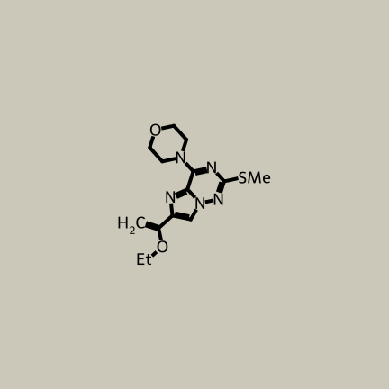 C=C(OCC)c1cn2nc(SC)nc(N3CCOCC3)c2n1